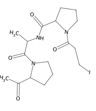 CC(=O)C1CCCN1C(=O)C(C)NC(=O)C1CCCN1C(=O)CCI